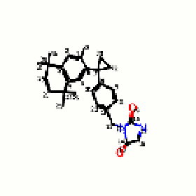 Cc1cc2c(cc1C1(c3ccc(CN4C(=O)C=NC4=O)cc3)CC1)C(C)(C)C=CC2(C)C